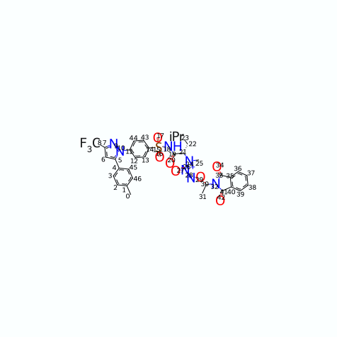 Cc1ccc(-c2cc(C(F)(F)F)nn2-c2ccc(S(=O)(=O)NC(=O)[C@H](CC(C)C)N(C)/[N+]([O-])=N\OC(C)N3C(=O)c4ccccc4C3=O)cc2)cc1